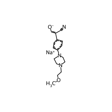 COCCN1CCN(c2ccc(C(C#N)=C[O-])cc2)CC1.[Na+]